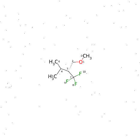 COC[C@@H](C(C)C)C(F)(F)F